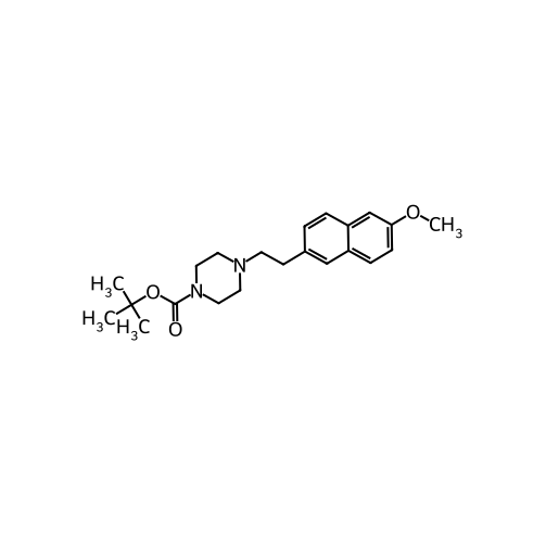 COc1ccc2cc(CCN3CCN(C(=O)OC(C)(C)C)CC3)ccc2c1